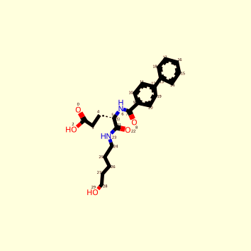 O=C(O)CC[C@H](NC(=O)c1ccc(-c2ccccc2)cc1)C(=O)NCCCCCO